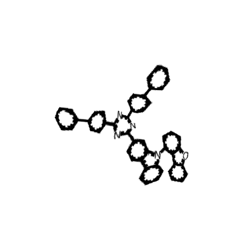 c1ccc(-c2ccc(-c3nc(-c4ccc(-c5ccccc5)cc4)nc(-c4ccc5c6ccccc6n(-c6cccc7oc8ccccc8c67)c5c4)n3)cc2)cc1